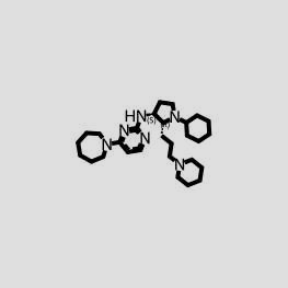 c1cc(N2CCCCCC2)nc(N[C@H]2CCN(C3CCCCC3)[C@@H]2CCCN2CCCCC2)n1